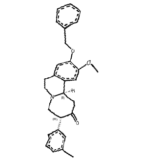 COc1cc2c(cc1OCc1ccccc1)CCN1C[C@@H](c3cccc(C)c3)C(=O)C[C@H]21